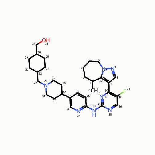 C[C@H]1CCCCn2ncc(-c3nc(Nc4ccc(C5CCN(CC6CCC(CO)CC6)CC5)cn4)ncc3F)c21